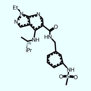 CCn1ncc2c(N[C@@H](C)C(C)C)c(C(=O)NCc3cccc(NS(C)(=O)=O)c3)cnc21